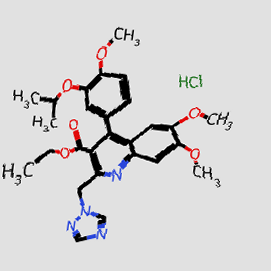 CCOC(=O)c1c(Cn2cncn2)nc2cc(OC)c(OC)cc2c1-c1ccc(OC)c(OC(C)C)c1.Cl